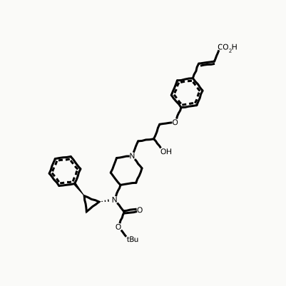 CC(C)(C)OC(=O)N(C1CCN(CC(O)COc2ccc(/C=C/C(=O)O)cc2)CC1)[C@@H]1C[C@H]1c1ccccc1